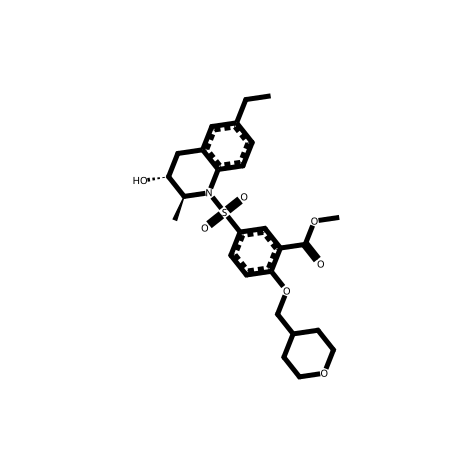 CCc1ccc2c(c1)C[C@@H](O)[C@H](C)N2S(=O)(=O)c1ccc(OCC2CCOCC2)c(C(=O)OC)c1